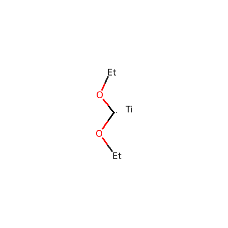 CCO[CH]OCC.[Ti]